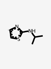 CC(C)Nc1n[c]cs1